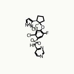 Cn1nccc1[C@H]1CCC[C@@]1(C)Oc1cc(Cl)c(S(=O)(=O)Nc2ccncn2)cc1F